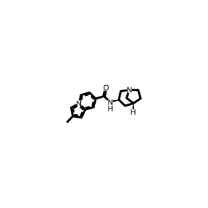 Cc1cc2cc(C(=O)N[C@@H]3C[C@H]4CCN(C4)C3)ccn2c1